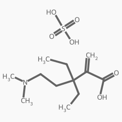 C=C(C(=O)O)C(CC)(CC)CCN(C)C.O=S(=O)(O)O